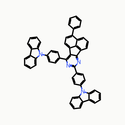 c1ccc(-c2ccc3c4c(cccc24)-c2nc(-c4ccc(-n5c6ccccc6c6ccccc65)cc4)nc(-c4ccc(-n5c6ccccc6c6ccccc65)cc4)c2-3)cc1